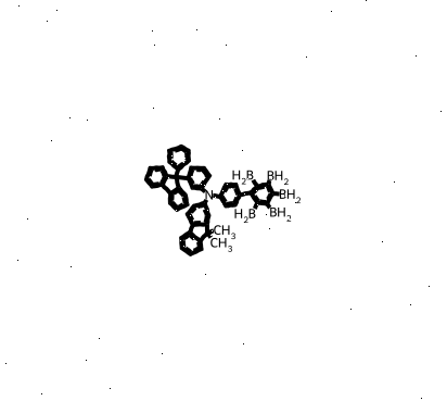 Bc1c(B)c(B)c(-c2ccc(N(c3cccc(C4(c5ccccc5)c5ccccc5-c5ccccc54)c3)c3ccc4c(c3)C(C)(C)c3ccccc3-4)cc2)c(B)c1B